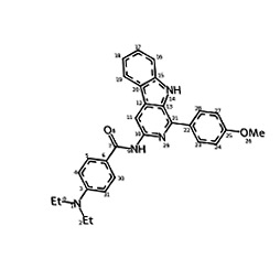 CCN(CC)c1ccc(C(=O)Nc2cc3c([nH]c4ccccc43)c(-c3ccc(OC)cc3)n2)cc1